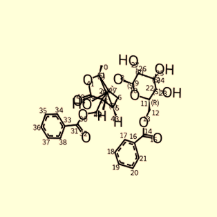 C[C@]12C[C@@H](O)[C@@H]3C[C@@]1(O[C@@H]1O[C@H](COC(=O)c4ccccc4)[C@@H](O)[C@H](O)[C@H]1O)C3(COC(=O)c1ccccc1)C(=O)O2